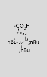 CCCCC(C=CC(=O)O)C(CCCC)CCCC